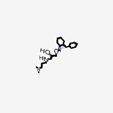 CN(C)CCCNC[C@@H](O)CO/N=C1\CCCC\C1=C/c1ccccc1